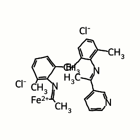 CC(=Nc1c(C)cccc1Br)c1cccnc1.C[C]([Fe+2])=Nc1c(C)cccc1C.[Cl-].[Cl-]